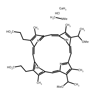 CNC.COC(C)C1=C(C)c2cc3[nH]c(cc4nc(cc5[nH]c(cc1n2)c(C)c5CCC(=O)O)C(CCC(=O)O)=C4C)c(C)c3C(C)OC.Cl.[GaH3]